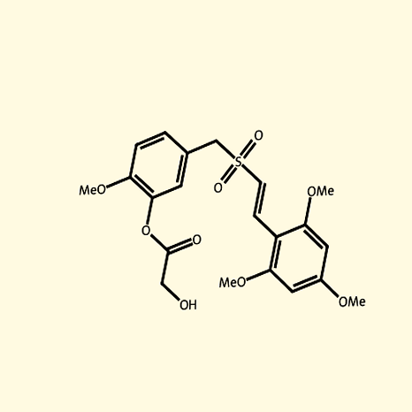 COc1cc(OC)c(/C=C/S(=O)(=O)Cc2ccc(OC)c(OC(=O)CO)c2)c(OC)c1